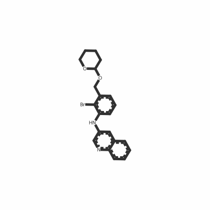 Brc1c(COC2CCCCO2)cccc1Nc1cnc2ccccc2c1